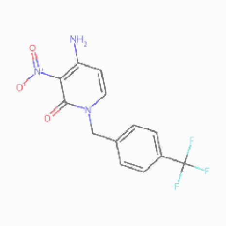 Nc1ccn(Cc2ccc(C(F)(F)F)cc2)c(=O)c1[N+](=O)[O-]